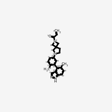 C=CC(=O)N1CC2(CCN(c3ccc(C)c(-c4c(C)ccc5[nH]ncc45)c3)C2)C1